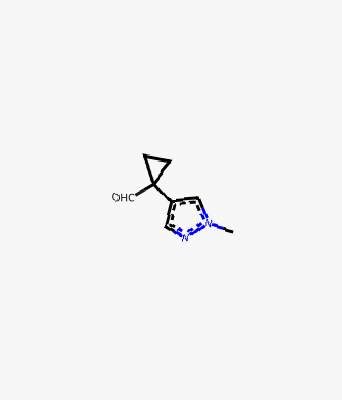 Cn1cc(C2(C=O)CC2)cn1